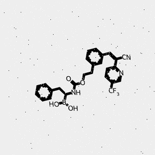 N#CC(=Cc1cccc(CCOC(=O)NC(Cc2ccccc2)B(O)O)c1)c1ccc(C(F)(F)F)cn1